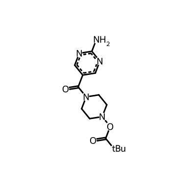 CC(C)(C)C(=O)ON1CCN(C(=O)c2cnc(N)nc2)CC1